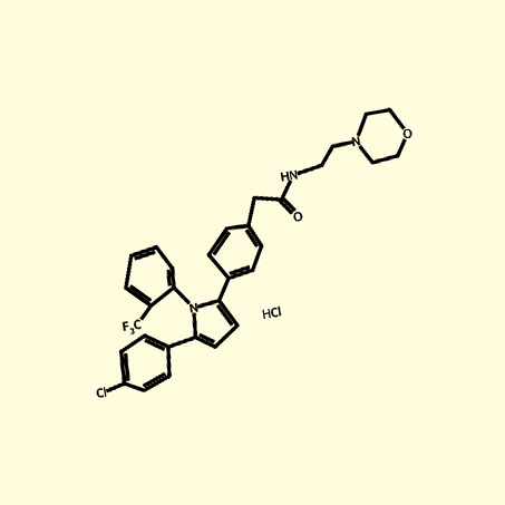 Cl.O=C(Cc1ccc(-c2ccc(-c3ccc(Cl)cc3)n2-c2ccccc2C(F)(F)F)cc1)NCCN1CCOCC1